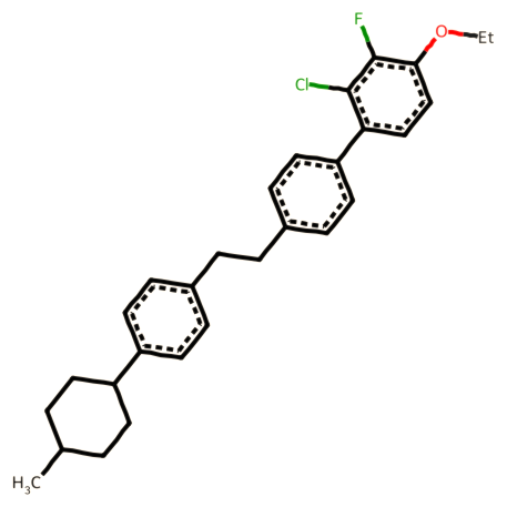 CCOc1ccc(-c2ccc(CCc3ccc(C4CCC(C)CC4)cc3)cc2)c(Cl)c1F